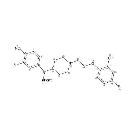 CCCCCC(c1ccc(C#N)c(C)c1)N1CCN(CCOc2ccc(F)cc2O)CC1